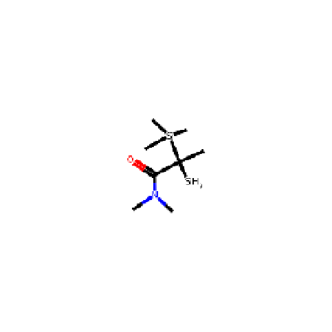 CN(C)C(=O)C(C)([SiH3])[Si](C)(C)C